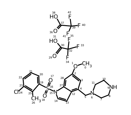 COc1cc(CN2CCNCC2)c2ccn(S(=O)(=O)c3cccc(Cl)c3C)c2c1.O=C(O)C(F)(F)F.O=C(O)C(F)(F)F